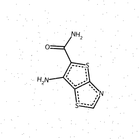 NC(=O)c1sc2ncsc2c1N